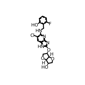 Oc1cccc(F)c1CNc1nc2nc(O[C@@H]3CO[C@H]4[C@@H]3OC[C@H]4O)[nH]c2cc1Cl